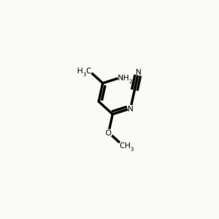 COC(C=C(C)N)=NC#N